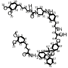 COc1ccc(CCCC(N)=O)cc1OC.COc1ccc(CCCCNC(=O)N2CCC(Nc3ccc(CCNC[C@H](O)COc4ccc(O[Si](c5ccccc5)(c5ccccc5)C(C)(C)C)cc4)cc3)CC2)cc1OC